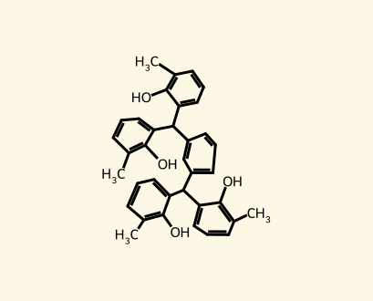 Cc1cccc(C(c2cccc(C(c3cccc(C)c3O)c3cccc(C)c3O)c2)c2cccc(C)c2O)c1O